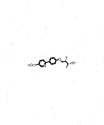 CCCCCCCCc1ccc(-c2ccc(OC[C@H](F)[C@@H](F)CCC)cc2)nc1